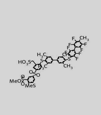 COS(=O)(=O)c1cc(S(=O)(=O)c2ccc(Sc3c(C)cc(-c4cc(C)c(Sc5c(F)c(F)c(-c6c(F)c(F)c(C)c(F)c6F)c(F)c5F)c(C)c4)cc3C)c(CS(=O)(=O)O)c2)ccc1SC